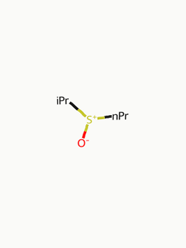 CCC[S+]([O-])C(C)C